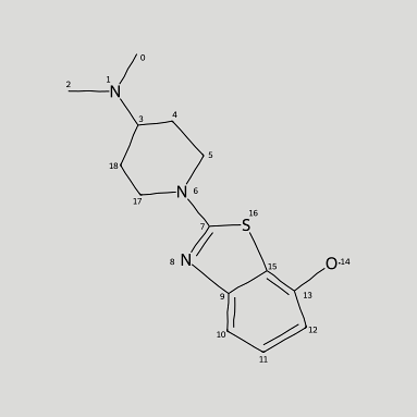 CN(C)C1CCN(c2nc3cccc([O])c3s2)CC1